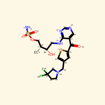 CC[C@H](COS(N)(=O)=O)[C@@H](O)CNc1ncncc1C(=O)c1cc(CN2CCC(F)(F)C2)cs1